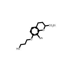 CCCc1c(OCCCO)ccc2c1OC(C(=O)OCC)CC2